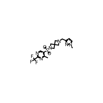 Cc1nc(C(F)(F)F)ncc1S(=O)(=O)N1CC2(CN(Cc3ccn(C)n3)C2)C1